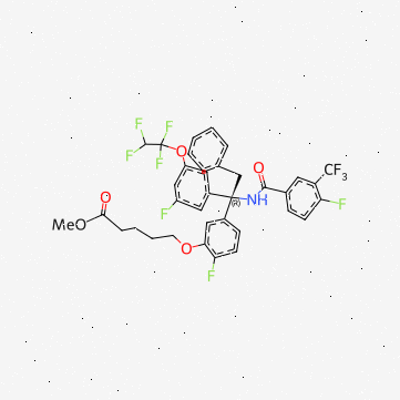 COC(=O)CCCCOc1cc([C@@](Cc2ccccc2)(NC(=O)c2ccc(F)c(C(F)(F)F)c2)c2cc(F)cc(OC(F)(F)C(F)F)c2)ccc1F